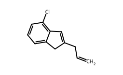 C=CCC1=Cc2c(Cl)cccc2C1